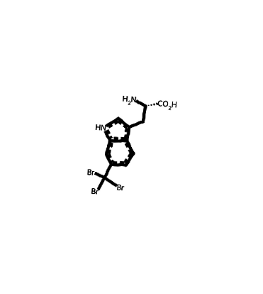 N[C@@H](Cc1c[nH]c2cc(C(Br)(Br)Br)ccc12)C(=O)O